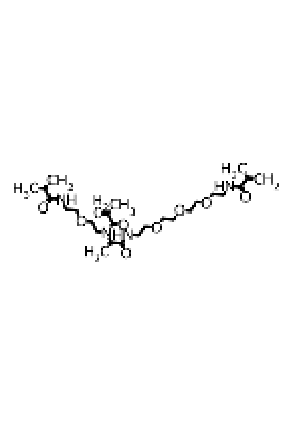 C=C(C)C(=O)NCCOCCOCCOCCNC(=O)C(=C)N(CCOCCNC(=O)C(=C)C)C(=O)C(=C)C